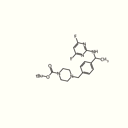 CC(Nc1nc(F)cc(F)n1)c1ccc(CN2CCN(C(=O)OC(C)(C)C)CC2)cc1